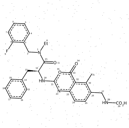 CCN(Cc1ccccc1F)C(=O)[C@H](Cc1ccccc1)Nc1nc2ccc(CNC(=O)O)c(C)c2c(=O)o1